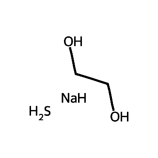 OCCO.S.[NaH]